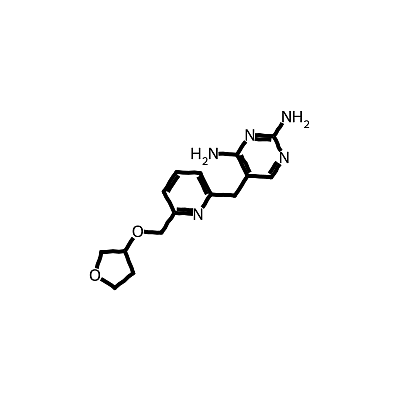 Nc1ncc(Cc2cccc(COC3CCOC3)n2)c(N)n1